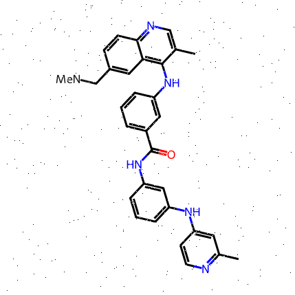 CNCc1ccc2ncc(C)c(Nc3cccc(C(=O)Nc4cccc(Nc5ccnc(C)c5)c4)c3)c2c1